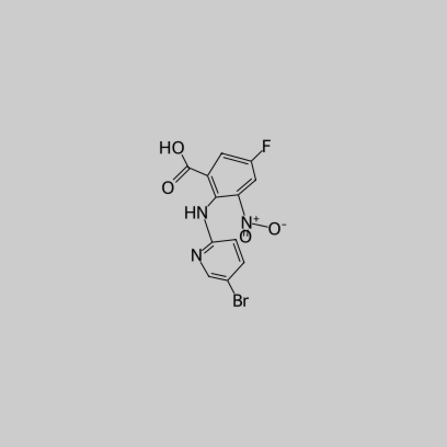 O=C(O)c1cc(F)cc([N+](=O)[O-])c1Nc1ccc(Br)cn1